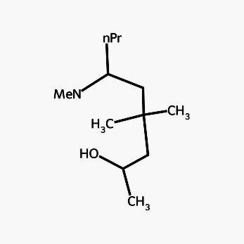 CCCC(CC(C)(C)CC(C)O)NC